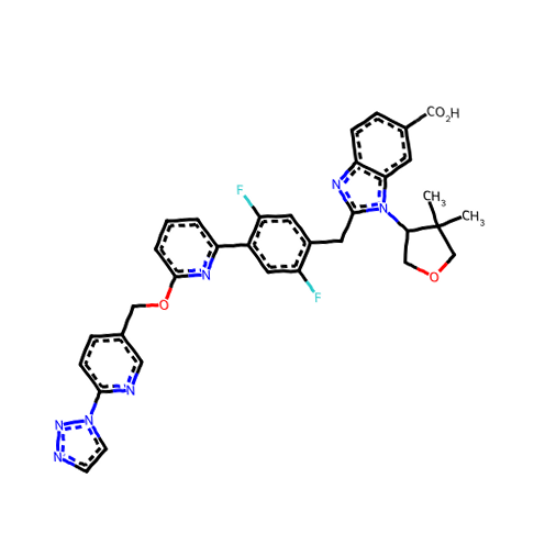 CC1(C)COCC1n1c(Cc2cc(F)c(-c3cccc(OCc4ccc(-n5ccnn5)nc4)n3)cc2F)nc2ccc(C(=O)O)cc21